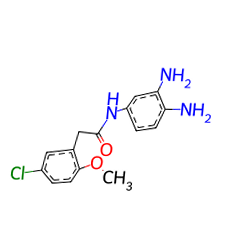 COc1ccc(Cl)cc1CC(=O)Nc1ccc(N)c(N)c1